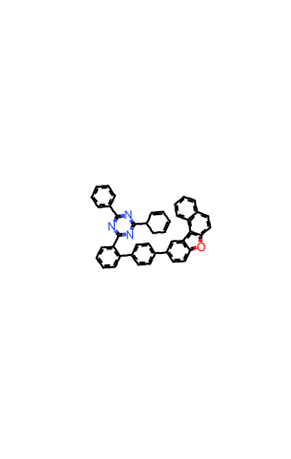 C1=CCC(c2nc(-c3ccccc3)nc(-c3ccccc3-c3ccc(-c4ccc5oc6ccc7ccccc7c6c5c4)cc3)n2)C=C1